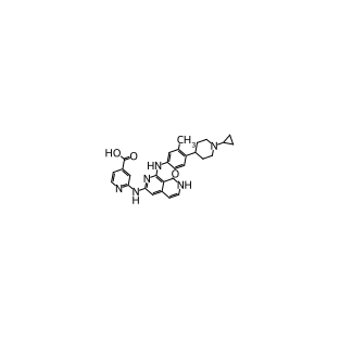 Cc1cc(Nc2nc(Nc3cc(C(=O)O)ccn3)cc3cc[nH]c(=O)c23)ccc1C1CCN(C2CC2)CC1